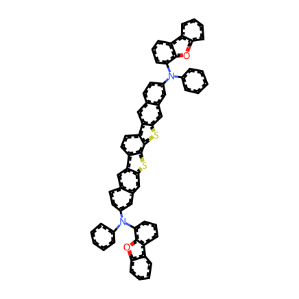 c1ccc(N(c2ccc3cc4c(cc3c2)sc2c4ccc3c4cc5ccc(N(c6ccccc6)c6cccc7c6oc6ccccc67)cc5cc4sc32)c2cccc3c2oc2ccccc23)cc1